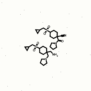 N#CC1(C(=O)N2CCCC2)CCC(S(=O)(=O)CC2CC2)CC1.NCC1(CN2CCCC2)CCC(S(=O)(=O)CC2CC2)CC1